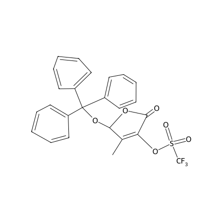 CC1=C(OS(=O)(=O)C(F)(F)F)C(=O)OC1OC(c1ccccc1)(c1ccccc1)c1ccccc1